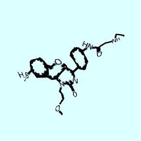 Bc1ccc2oc3c(-c4ccc(NC(=O)CNCC)cc4)nc(=O)n(CCOC)c3c2c1